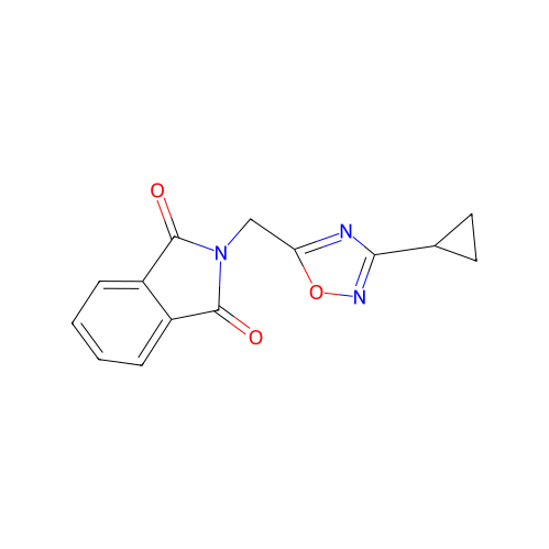 O=C1c2ccccc2C(=O)N1Cc1nc(C2CC2)no1